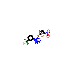 O=[N+]([O-])c1cnc(Sc2nnnn2-c2cccc(C(F)(F)F)c2)s1